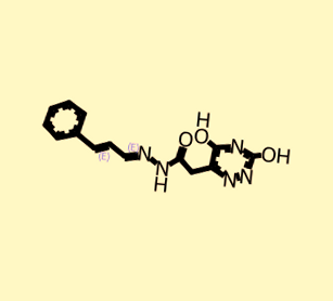 O=C(Cc1nnc(O)nc1O)N/N=C/C=C/c1ccccc1